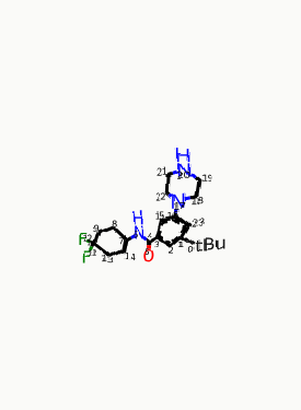 CC(C)(C)c1cc(C(=O)NC2CCC(F)(F)CC2)cc(N2CCNCC2)c1